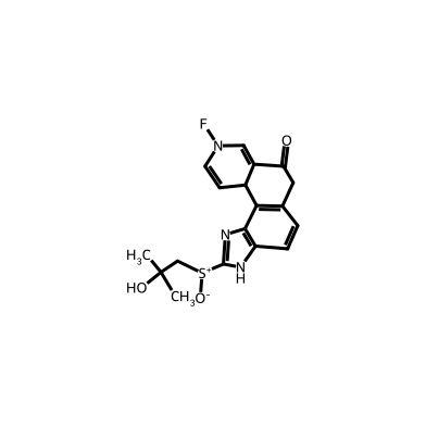 CC(C)(O)C[S+]([O-])c1nc2c3c(ccc2[nH]1)CC(=O)C1=CN(F)C=CC13